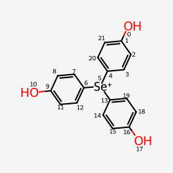 Oc1ccc([Se+](c2ccc(O)cc2)c2ccc(O)cc2)cc1